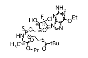 CCOc1nc(N)nc2c1ncn2[C@@H]1O[C@H](CO[P@@](=S)(N[C@@H](C)C(=O)OC(C)C)OCCSC(=O)C(C)(C)C)[C@@H](O)[C@]1(F)Cl